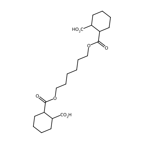 O=C(O)C1CCCCC1C(=O)OCCCCCCOC(=O)C1CCCCC1C(=O)O